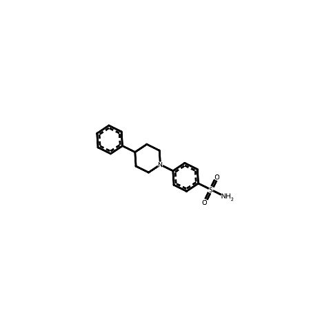 NS(=O)(=O)c1ccc(N2CCC(c3ccccc3)CC2)cc1